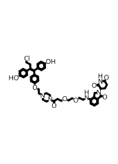 O=C1CCC(N2Cc3c(NCCOCCOCCC(=O)N4CCN(CCOc5ccc(C(=C(CCCl)c6ccc(O)cc6)c6ccc(O)cc6)cc5)CC4)cccc3C2=O)C(=O)N1